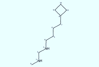 CNCNCCCCC1CCC1